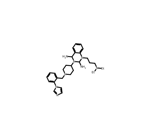 CCN(CC)CCCN1c2ccccc2C(N)N(C2CCN(Cc3ccccc3-n3ccnc3)CC2)C1N